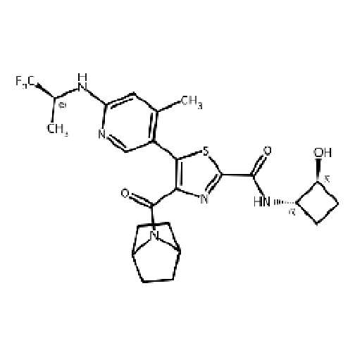 Cc1cc(N[C@@H](C)C(F)(F)F)ncc1-c1sc(C(=O)N[C@H]2CC[C@@H]2O)nc1C(=O)N1C2CCC1CC2